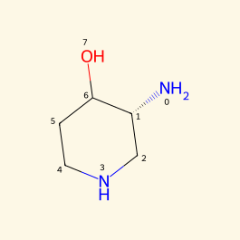 N[C@@H]1CNCCC1O